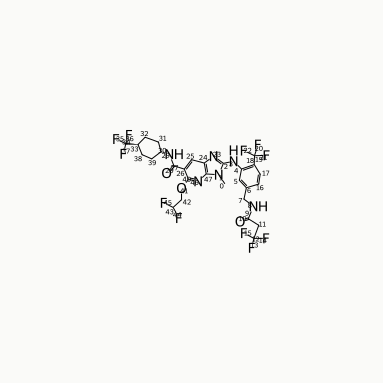 Cn1c(Nc2cc(CNC(=O)CC(F)(F)F)ccc2C(F)(F)F)nc2cc(C(=O)N[C@H]3CC[C@H](C(F)(F)F)CC3)c(OCC(F)F)nc21